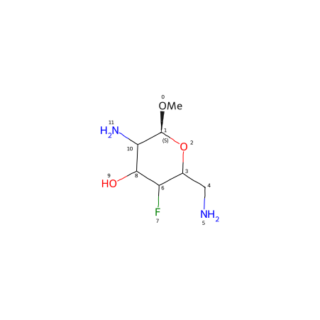 CO[C@H]1OC(CN)C(F)C(O)C1N